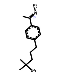 CC/N=C(\C)c1ccc(CCCC(C)(C)C(C)C)cc1